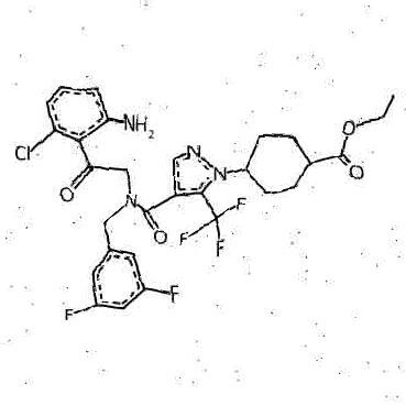 CCOC(=O)C1CCC(n2ncc(C(=O)N(CC(=O)c3c(N)cccc3Cl)Cc3cc(F)cc(F)c3)c2C(F)(F)F)CC1